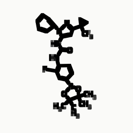 CC1(C)OB(c2ccc(NC(=O)Nc3cc(C4(C(F)(F)F)CC4)nn3-c3ccccc3)c(F)c2)OC1(C)C